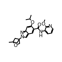 COc1ncccc1NC(=O)c1cc2cn(C34COC(C)(C3)C4)nc2cc1OC(C)C